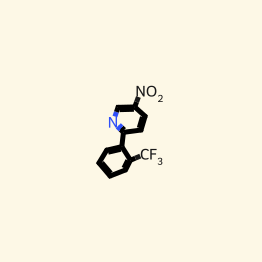 O=[N+]([O-])c1ccc(-c2ccccc2C(F)(F)F)nc1